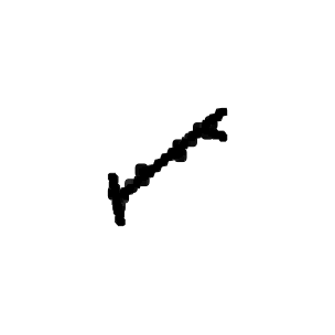 CCCCOCC(OCCCC)OCCOCCOC(=O)CCCCCCCCC(=O)OCCOCCOC(COCCCC)OCCCC